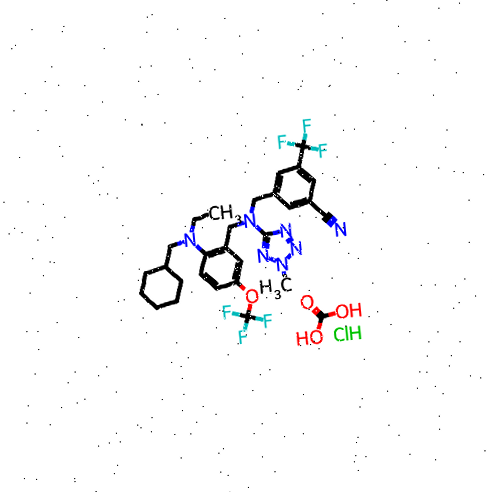 CCN(CC1CCCCC1)c1ccc(OC(F)(F)F)cc1CN(Cc1cc(C#N)cc(C(F)(F)F)c1)c1nnn(C)n1.Cl.O=C(O)O